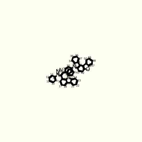 c1ccc(-c2nnn(-c3ccccc3)c2-c2cccc3c4ccccc4n(-c4cccc(-n5c6ccccc6c6c7c(ccc65)oc5ccccc57)c4)c23)cc1